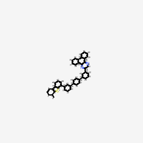 CC1CC=Cc2c1sc1c(-c3cccc(-c4ccc(-c5cccc(-c6cnc7c8ccccc8c8ccccc8c7n6)c5)cc4)c3)cccc21